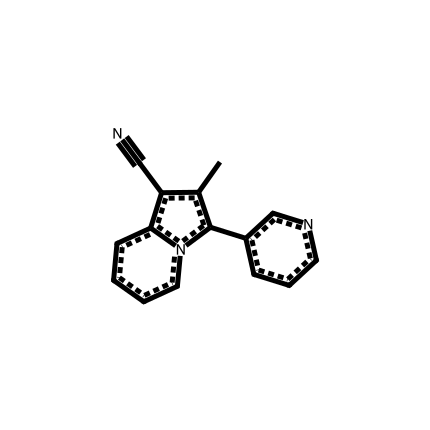 Cc1c(C#N)c2ccccn2c1-c1cccnc1